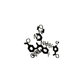 CC(=O)c1ccc(S(C)(=O)=O)c(-c2nc3cc(F)cc(F)c3c(Nc3cncc(N4CCOCC4)c3)c2C)c1.CSc1ccc(C(C)=O)cc1Br